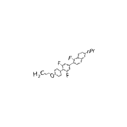 C=CCOc1ccc(-c2c(F)cc(-c3ccc4cc(CCC)ccc4c3F)cc2F)cc1